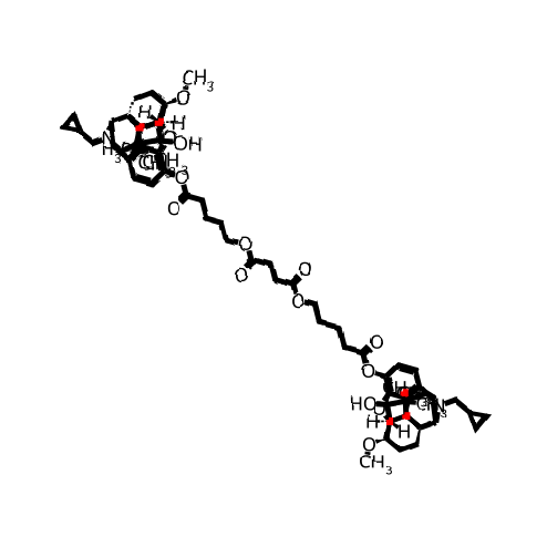 CO[C@]12CC[C@@]3(C[C@@H]1[C@](C)(O)C(C)(C)C)C1Cc4ccc(OC(=O)CCCCOC(=O)CCC(=O)OCCCCC(=O)Oc5ccc6c7c5O[C@H]5[C@@]8(OC)CC[C@@]9(C[C@@H]8[C@](C)(O)C(C)(C)C)C(C6)N(CC6CC6)CC[C@]759)c5c4[C@@]3(CCN1CC1CC1)[C@H]2O5